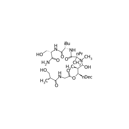 CCCCCCCCCC[C@@H](OC(=O)CNC(=O)[C@@H](C)CO)[C@@H](C)C(O)N(C)[C@](C)(CCC)C(=O)N[C@H](C(=O)N[C@@H](CO)C(N)=O)[C@@H](C)CC